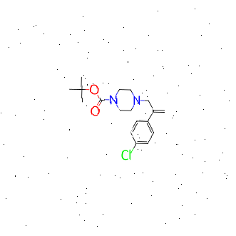 C=C(CN1CCN(C(=O)OC(C)(C)C)CC1)c1ccc(Cl)cc1